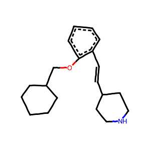 C(=CC1CCNCC1)c1ccccc1OCC1CCCCC1